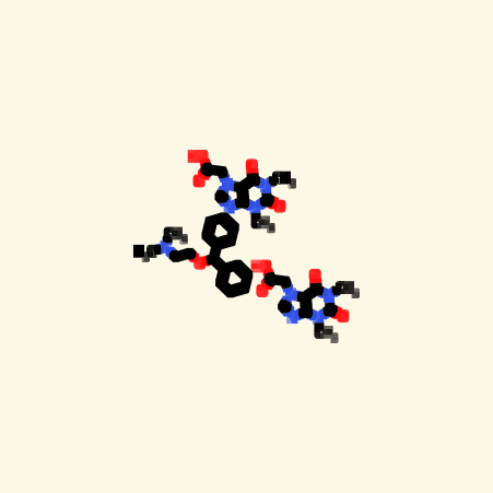 CN(C)CCOC(c1ccccc1)c1ccccc1.Cn1c(=O)c2c(ncn2CC(=O)O)n(C)c1=O.Cn1c(=O)c2c(ncn2CC(=O)O)n(C)c1=O